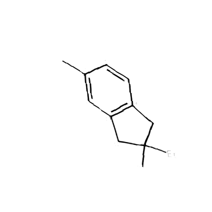 [CH2]C1(CC)Cc2ccc(C)cc2C1